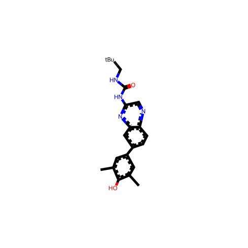 Cc1cc(-c2ccc3ncc(NC(=O)NCC(C)(C)C)nc3c2)cc(C)c1O